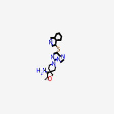 C[C@@H]1OCC2(CCN(c3ncc(Sc4cncc5ccccc45)c4nccn34)CC2)[C@@H]1N